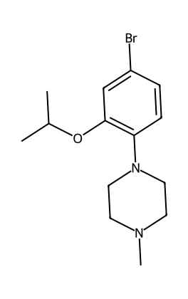 CC(C)Oc1cc(Br)ccc1N1CCN(C)CC1